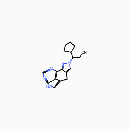 N#CCC(C1CCCC1)n1cc2c(n1)-c1ncnc3[nH]cc(c13)C2